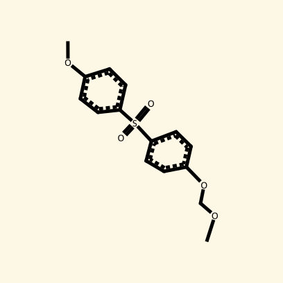 COCOc1ccc(S(=O)(=O)c2ccc(OC)cc2)cc1